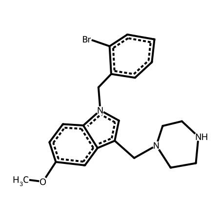 COc1ccc2c(c1)c(CN1CCNCC1)cn2Cc1ccccc1Br